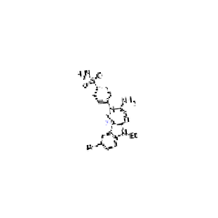 CCN1C(=O)/C(=N\N(C(N)=S)c2ccc(S(N)(=O)=O)cc2)c2cc(C(C)C)ccc21